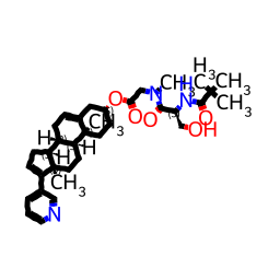 CN(CC(=O)O[C@H]1CC[C@@]2(C)C(=CC[C@@H]3[C@@H]2CC[C@]2(C)C(c4cccnc4)=CC[C@@H]32)C1)C(=O)[C@H](CO)NC(=O)C(C)(C)C